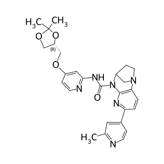 Cc1cc(-c2ccc3c(n2)N(C(=O)Nc2cc(OC[C@@H]4COC(C)(C)O4)ccn2)C2CCN3C2)ccn1